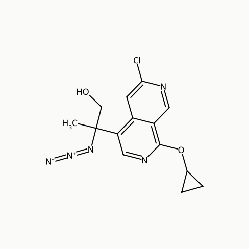 CC(CO)(N=[N+]=[N-])c1cnc(OC2CC2)c2cnc(Cl)cc12